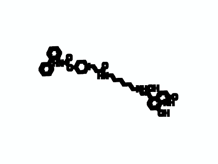 O=C(CCN1CCC(OC(=O)Nc2ccccc2-c2ccccc2)CC1)NCCCCCCNC[C@H](O)c1ccc(O)c2[nH]c(=O)ccc12